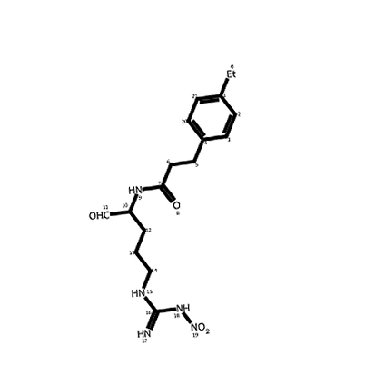 CCc1ccc(CCC(=O)NC(C=O)CCCNC(=N)N[N+](=O)[O-])cc1